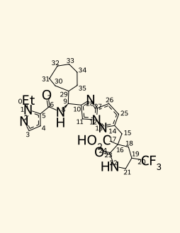 CCn1nccc1C(=O)N[C@H](c1cn2nc(CC3(C(=O)O)CC(C(F)(F)F)CNC3=O)ccc2n1)C1CCCCCC1